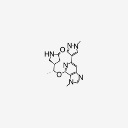 C[C@@H](Oc1nc(-c2cnn(C)c2)cc2ncn(C)c12)[C@H]1CNC(=O)C1